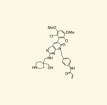 C=CC(=O)Nc1ccc(CCn2c(=O)c(-c3c(Cl)c(OC)cc(OC)c3Cl)cc3cnc(NCC4(CO)CCNCC4)nc32)cc1